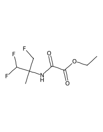 CCOC(=O)C(=O)NC(C)(CF)C(F)F